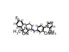 COc1cc(/C=C2\CCCN3C2=NOC3(C)c2ccc(F)cc2)ccc1-n1cncc1C